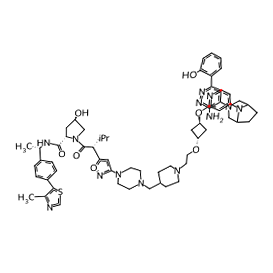 Cc1ncsc1-c1ccc([C@H](C)NC(=O)[C@@H]2C[C@@H](O)CN2C(=O)[C@@H](c2cc(N3CCN(CC4CCN(CCO[C@H]5C[C@H](Oc6cc(N7C8CCC7CN(c7cc(-c9ccccc9O)nnc7N)C8)ccn6)C5)CC4)CC3)no2)C(C)C)cc1